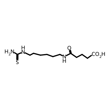 NC(=S)NCCCCCCNC(=O)CCCC(=O)O